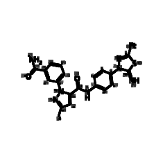 CCc1nn(-c2ccc(NC(=O)c3cc(C)nn3-c3cccc(C(N)=O)c3)cc2)c(=N)s1